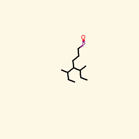 CCC(C)C(CCCP=O)C(C)CC